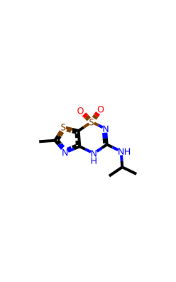 Cc1nc2c(s1)S(=O)(=O)N=C(NC(C)C)N2